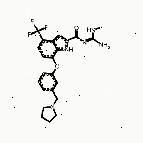 CNC(N)=NC(=O)c1cc2c(C(F)(F)F)ccc(Oc3cccc(CN4CCCC4)c3)c2[nH]1